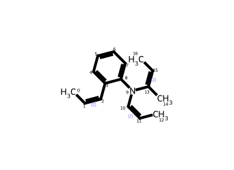 C/C=C\c1ccccc1N(/C=C\C)/C(C)=C\C